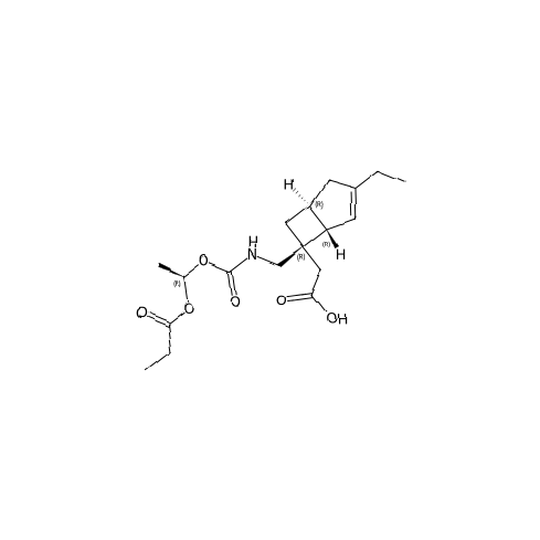 CCC(=O)O[C@@H](C)OC(=O)NC[C@@]1(CC(=O)O)C[C@H]2CC(CC)=C[C@@H]21